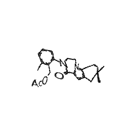 CC(=O)OCc1c(C)cccc1N1CCn2c(cc3c2CC(C)(C)C3)C1=O